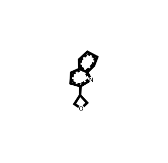 c1ccc2nc(C3COC3)ccc2c1